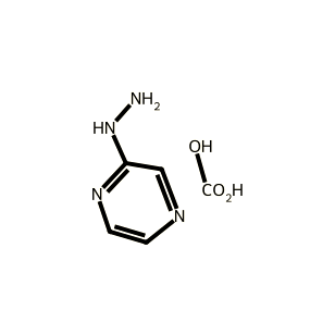 NNc1cnccn1.O=C(O)O